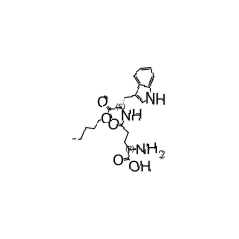 CCCCCOC(=O)[C@H](Cc1c[nH]c2ccccc12)NC(=O)CC[C@@H](N)C(=O)O